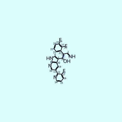 N=C/C(=C(\O)c1c[nH]c2ncc(-c3ncccc3F)cc12)c1cccc(F)c1F